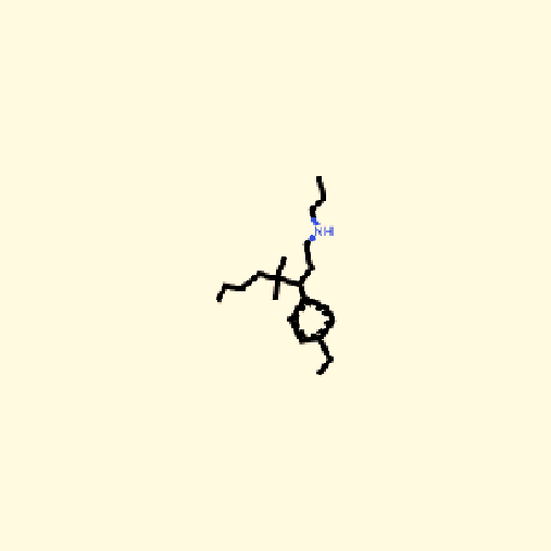 CCCCC(C)(C)C(CCNCCC)c1ccc(CC)cc1